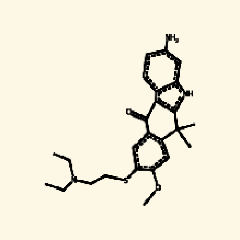 CCN(CC)CCSc1cc2c(cc1OC)C(C)(C)c1[nH]c3cc(N)ccc3c1C2=O